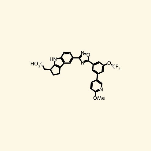 COc1ccc(-c2cc(OC(F)(F)F)cc(-c3nc(-c4ccc5[nH]c6c(c5c4)CCC6CC(=O)O)no3)c2)cn1